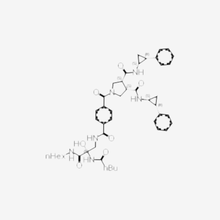 CCCCCCNC(=O)[C@@](O)(CNC(=O)c1ccc(C(=O)N2C[C@@H](C(=O)N[C@H]3C[C@@H]3c3ccccc3)[C@H](C(=O)N[C@H]3C[C@@H]3c3ccccc3)C2)cc1)NC(=O)CCCC